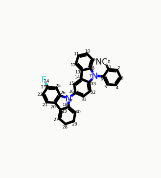 N#Cc1ccccc1-n1c2ccccc2c2cc(-n3c4c(c5ccc(F)cc53)=CCCC=4)ccc21